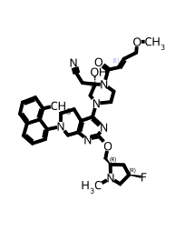 COC/C=C/C(=O)N1CCN(c2nc(OC[C@H]3C[C@@H](F)CN3C)nc3c2CCN(c2cccc4cccc(C)c24)C3)C[C@@]1(O)CC#N